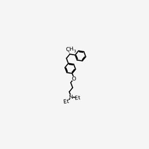 CCN(CC)CCCOc1ccc(C[C@H](C)c2ccccc2)cc1